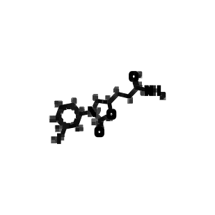 NC(=O)CCC1CN(c2cccc(F)c2)C(=O)O1